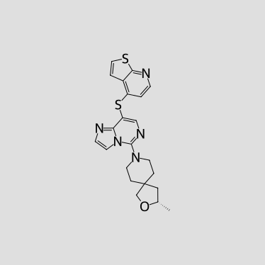 C[C@H]1CC2(CCN(c3ncc(Sc4ccnc5sccc45)c4nccn34)CC2)CO1